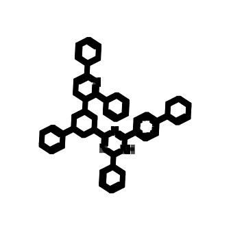 C1=CCC(C2=CCC(C3CC(C4=CCCC=C4)CC(C4=NC(C5C=CC=CC5)NC(c5ccc(C6C=CCCC6)cc5)=N4)C3)C(C3C=CC=CC3)=N2)C=C1